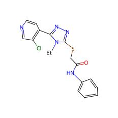 CCn1c(SCC(=O)Nc2ccccc2)nnc1-c1ccncc1Cl